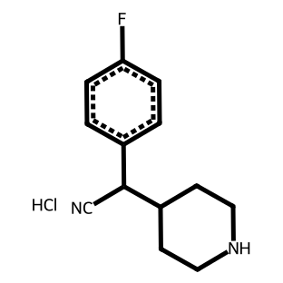 Cl.N#CC(c1ccc(F)cc1)C1CCNCC1